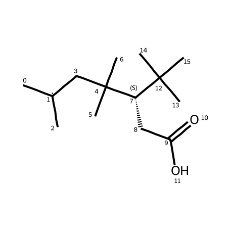 C[C](C)CC(C)(C)[C@@H](CC(=O)O)C(C)(C)C